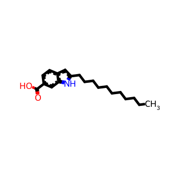 CCCCCCCCCCCc1cc2ccc(C(=O)O)cc2[nH]1